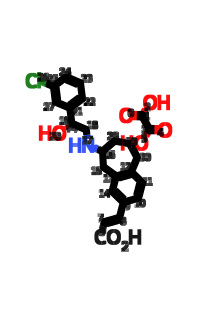 O=C(O)C(=O)O.O=C(O)C=Cc1ccc2c(c1)CC(NC[C@H](O)c1cccc(Cl)c1)CCC2